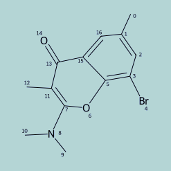 Cc1cc(Br)c2oc(N(C)C)c(C)c(=O)c2c1